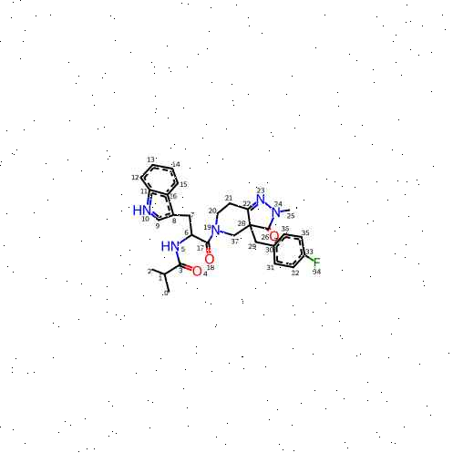 C[C](C)C(=O)NC(Cc1c[nH]c2ccccc12)C(=O)N1CCC2=NN(C)C(=O)C2(Cc2ccc(F)cc2)C1